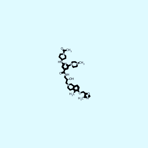 CC(=O)N1CCC(Nc2cc(C(=O)NC[C@H](O)CN3CCc4c(ccc(OCc5ocnc5C)c4C)C3)cc(N3CCN(C)CC3)n2)CC1